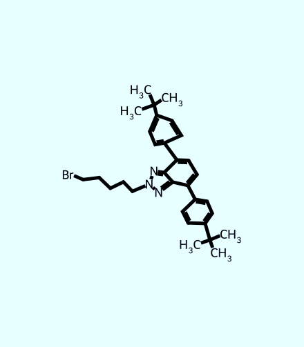 CC(C)(C)c1ccc(-c2ccc(-c3ccc(C(C)(C)C)cc3)c3nn(CCCCCBr)nc23)cc1